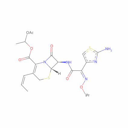 C/C=C\C1=C(C(=O)OC(C)OC(C)=O)N2C(=O)[C@@H](NC(=O)/C(=N\OC(C)C)c3csc(N)n3)[C@@H]2SC1